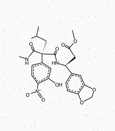 CNC(=O)[C@@](CC(C)C)(C(=O)N[C@@H](CC(=O)OC)c1ccc2c(c1)OCO2)c1ccc([N+](=O)[O-])c(O)c1